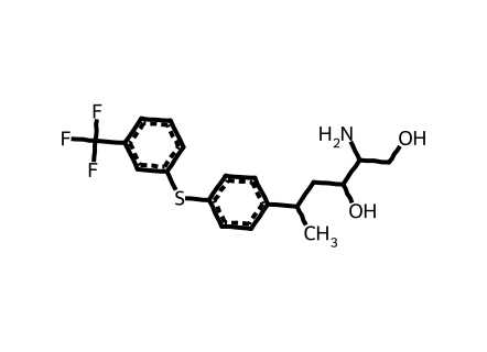 CC(CC(O)C(N)CO)c1ccc(Sc2cccc(C(F)(F)F)c2)cc1